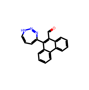 O=Cc1c(C2=CC=CNN=N2)c2ccccc2c2ccccc12